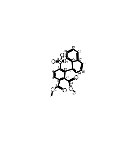 COC(=O)c1ccc(S(=O)(=O)O)c(-c2cccc3ccccc23)c1C(=O)OC